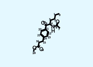 CCCCC(NC(C)=O)C(=O)c1ccc(CCC(=O)OC)cc1